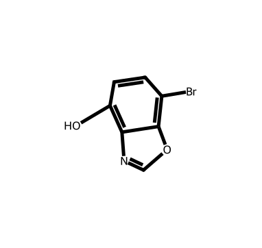 Oc1ccc(Br)c2ocnc12